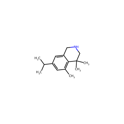 Cc1cc(C(C)C)cc2c1C(C)(C)CNC2